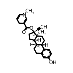 C#C[C@]1(OC(=O)C2=CN(C)C=CC2)CC[C@H]2[C@@H]3CCc4cc(O)ccc4[C@H]3CC[C@@]21C